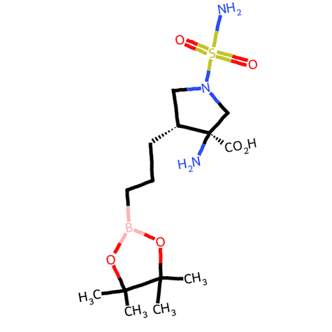 CC1(C)OB(CCC[C@@H]2CN(S(N)(=O)=O)C[C@]2(N)C(=O)O)OC1(C)C